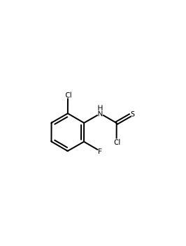 Fc1cccc(Cl)c1NC(=S)Cl